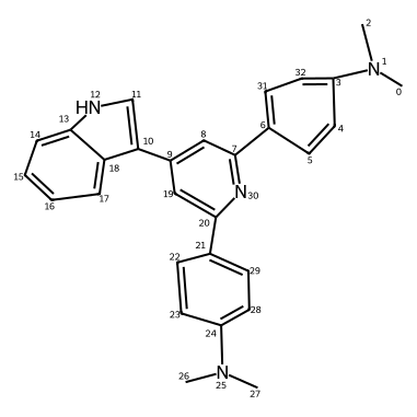 CN(C)c1ccc(-c2cc(-c3c[nH]c4ccccc34)cc(-c3ccc(N(C)C)cc3)n2)cc1